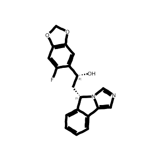 O[C@H](C[C@H]1c2ccccc2-c2cncn21)c1cc2c(cc1F)OCO2